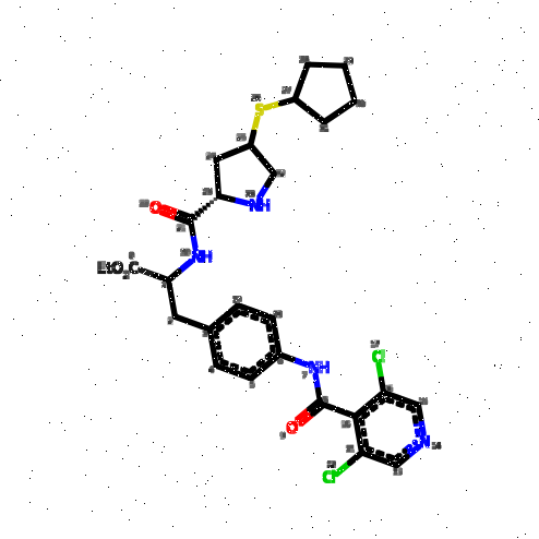 CCOC(=O)C(Cc1ccc(NC(=O)c2c(Cl)cncc2Cl)cc1)NC(=O)[C@@H]1CC(SC2CCCC2)CN1